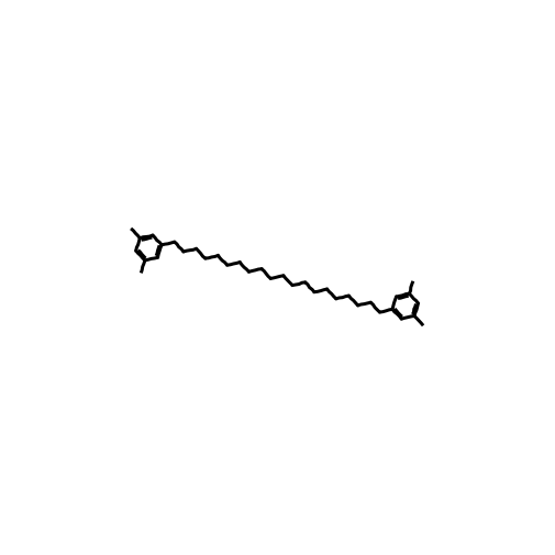 Cc1cc(C)cc(CCCCCCCCCCCCCCCCCCCCc2cc(C)cc(C)c2)c1